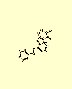 CCCC(CCC)C(=O)c1c(CC)cc2c(OCc3ccccc3)cccn12